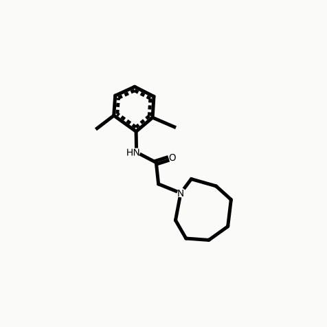 Cc1cccc(C)c1NC(=O)CN1CCCCCCC1